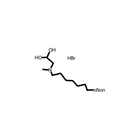 Br.CCCCCCCCCCCCCCCCN(C)CC(O)O